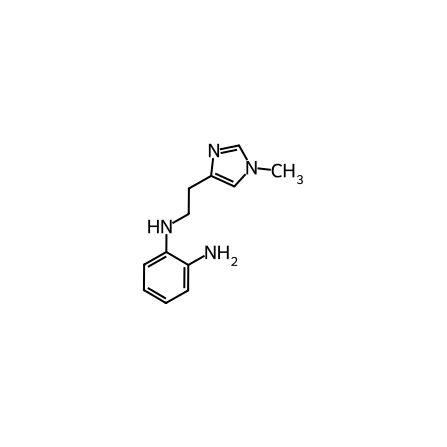 Cn1cnc(CCNc2ccccc2N)c1